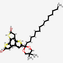 CCCCCCCCCCCCCCCC1(c2cc3c(s2)c2c(c4sc(Br)cc43)SC(Br)C2)OCC(C)(C)CO1